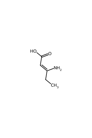 CCC(N)=CC(=O)O